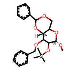 CO[C@H]1OC2COC(c3ccccc3)O[C@H]2C(OCc2ccccc2)C1O[Si](C)(C)C